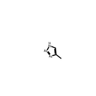 CC1=C[AsH][As]=[As]1